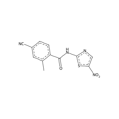 Cc1cc(C#N)ccc1C(=O)Nc1ncc([N+](=O)[O-])s1